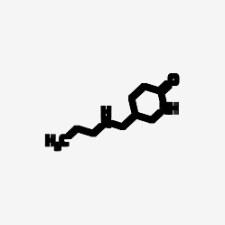 CCCNCC1CCC(=O)NC1